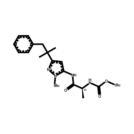 C[C@H](NC(=O)OC(C)(C)C)C(=O)Nc1cc(C(C)(C)Cc2ccccc2)nn1C(C)(C)C